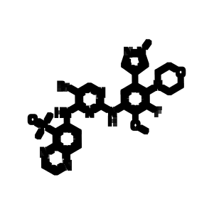 COc1c(Nc2ncc(Br)c(Nc3ccc4nccnc4c3P(C)(C)=O)n2)cc(-c2cnn(C)c2)c(N2CCOCC2)c1F